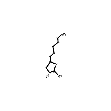 CCCCOC[C@@H]1C[C@@H](O)C(O)O1